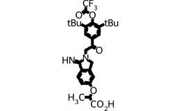 CC(Oc1ccc2c(c1)CN(CC(=O)c1cc(C(C)(C)C)c(OC(=O)C(F)(F)F)c(C(C)(C)C)c1)C2=N)C(=O)O